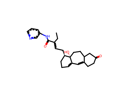 CC/C(=C\C[C@@H]1CCC=C2C=C3CCC(=O)CC3CC[C@@]21O)C(=O)Nc1cccnc1